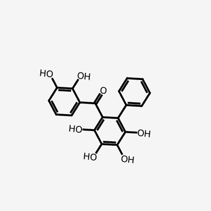 O=C(c1cccc(O)c1O)c1c(O)c(O)c(O)c(O)c1-c1ccccc1